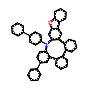 c1ccc(-c2ccc(-n3c4ccc(-c5ccccc5)cc4c4ccccc4c4ccccc4c4cc5c(cc43)oc3ccccc35)cc2)cc1